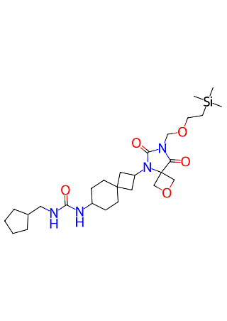 C[Si](C)(C)CCOCN1C(=O)N(C2CC3(CCC(NC(=O)NCC4CCCC4)CC3)C2)C2(COC2)C1=O